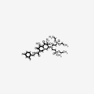 CCOP(C)(=O)CCN(CCP(=O)(OCC)OCC)C1Cn2cc(C(=O)NCc3ccc(F)cc3F)c(=O)c(O)c2C(=O)C1(C)C